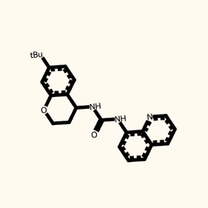 CC(C)(C)c1ccc2c(c1)OCCC2NC(=O)Nc1cccc2cccnc12